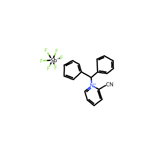 N#Cc1cccc[n+]1C(c1ccccc1)c1ccccc1.[F][Sb-]([F])([F])([F])([F])[F]